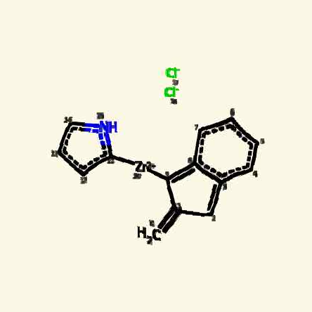 C=C1C=c2ccccc2=[C]1[Zr+2][c]1ccc[nH]1.[Cl-].[Cl-]